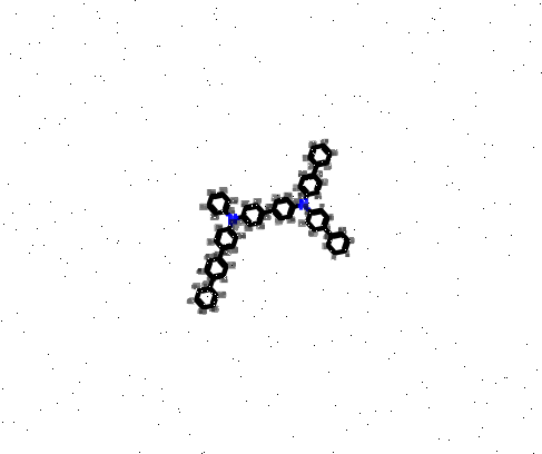 C1=CCCC(C2=CC=C(N(c3ccc(-c4ccccc4)cc3)c3ccc(-c4ccc(N(c5ccccc5)c5ccc(-c6ccc(-c7ccccc7)cc6)cc5)cc4)cc3)CC2)=C1